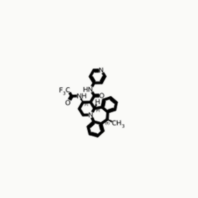 C[C@@H]1c2ccccc2[C@H]2C(C(=O)Nc3ccncc3)[C@H](NC(=O)C(F)(F)F)CCN2c2ccccc21